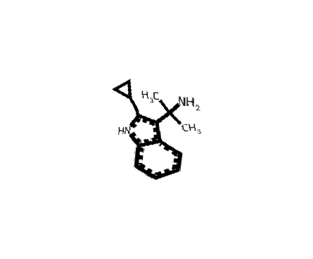 CC(C)(N)c1c(C2CC2)[nH]c2ccccc12